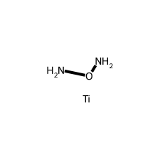 NON.[Ti]